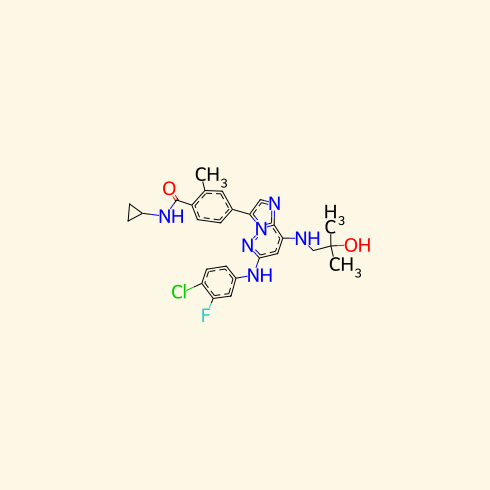 Cc1cc(-c2cnc3c(NCC(C)(C)O)cc(Nc4ccc(Cl)c(F)c4)nn23)ccc1C(=O)NC1CC1